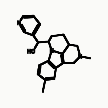 Cc1ccc2c(c1)c1c3n2C(C(O)c2cccnc2)CCC3CN(C)C1